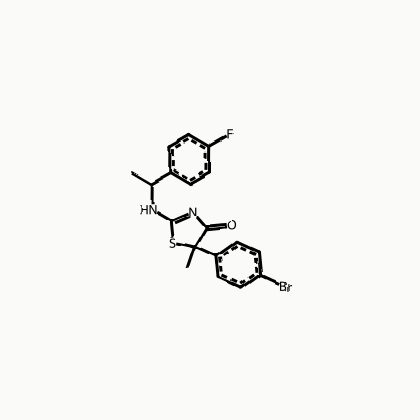 CC(NC1=NC(=O)C(C)(c2ccc(Br)cc2)S1)c1ccc(F)cc1